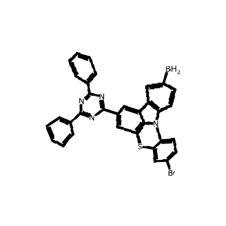 Bc1ccc2c(c1)c1cc(-c3nc(-c4ccccc4)nc(-c4ccccc4)n3)cc3c1n2-c1ccc(Br)cc1S3